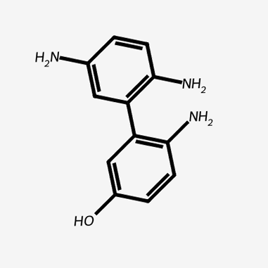 Nc1ccc(N)c(-c2cc(O)ccc2N)c1